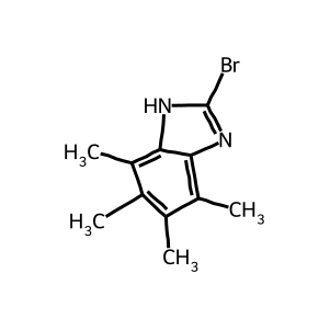 Cc1c(C)c(C)c2[nH]c(Br)nc2c1C